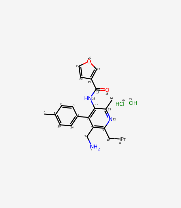 Cc1ccc(-c2c(CN)c(CC(C)C)nc(C)c2NC(=O)c2ccoc2)cc1.Cl.Cl